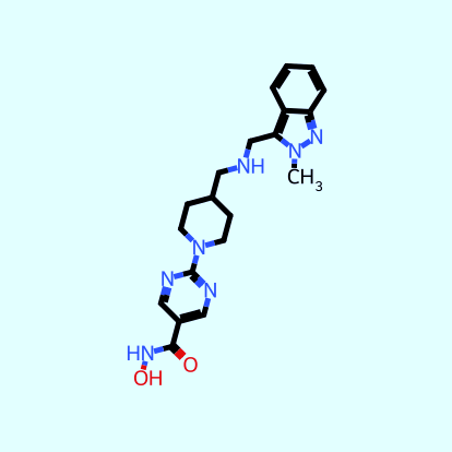 Cn1nc2ccccc2c1CNCC1CCN(c2ncc(C(=O)NO)cn2)CC1